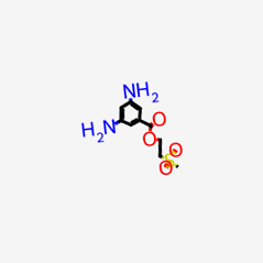 CS(=O)(=O)CCOC(=O)c1cc(N)cc(N)c1